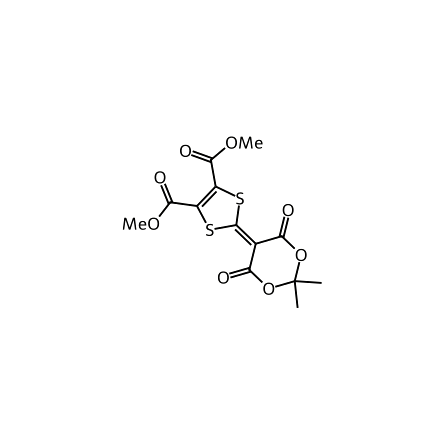 COC(=O)C1=C(C(=O)OC)SC(=C2C(=O)OC(C)(C)OC2=O)S1